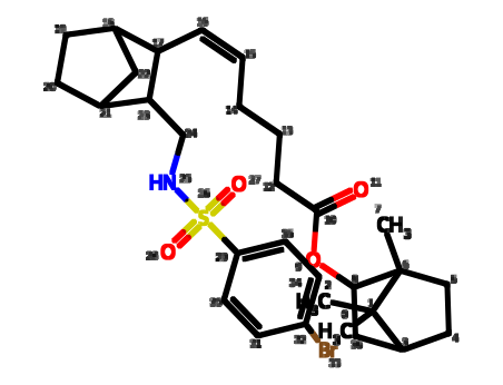 CC1(C)C2CCC1(C)C(OC(=O)CCC/C=C\C1C3CCC(C3)C1CNS(=O)(=O)c1ccc(Br)cc1)C2